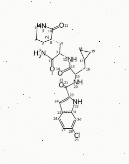 NC(=O)C(C[C@@H]1CCCNC1=O)NC(=O)C(CC1CC1)NC(=O)c1cc2ccc(Cl)cc2[nH]1